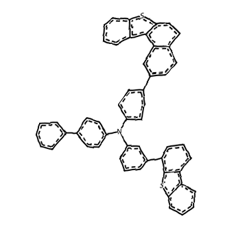 c1ccc(-c2ccc(N(c3ccc(-c4ccc5ccc6sc7ccccc7c6c5c4)cc3)c3cccc(-c4cccc5c4sc4ccccc45)c3)cc2)cc1